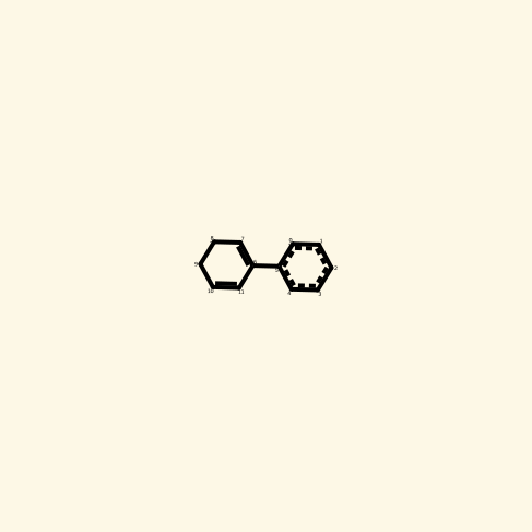 [c]1ccccc1C1=C[CH]CC=C1